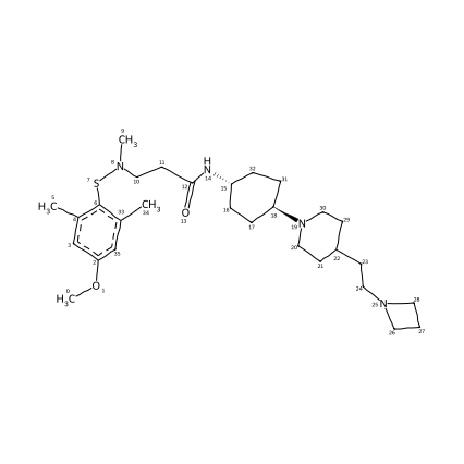 COc1cc(C)c(SN(C)CCC(=O)N[C@H]2CC[C@H](N3CCC(CCN4CCC4)CC3)CC2)c(C)c1